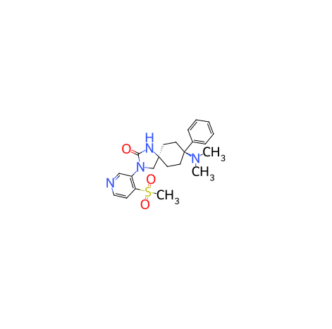 CN(C)[C@]1(c2ccccc2)CC[C@]2(CC1)CN(c1cnccc1S(C)(=O)=O)C(=O)N2